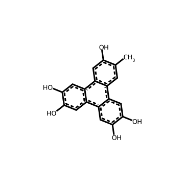 Cc1cc2c(cc1O)c1cc(O)c(O)cc1c1cc(O)c(O)cc21